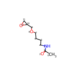 CC(=O)NCCCCOCC1CO1